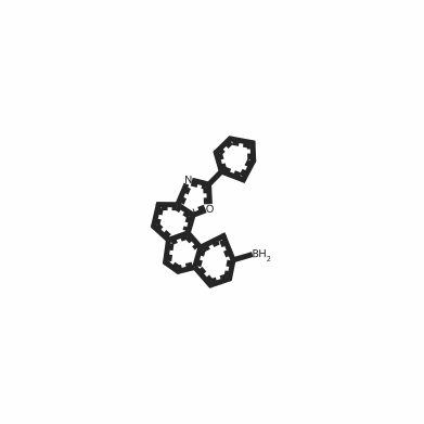 Bc1ccc2ccc3ccc4nc(-c5ccccc5)oc4c3c2c1